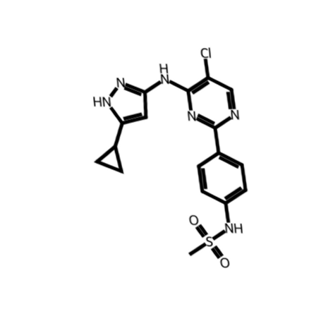 CS(=O)(=O)Nc1ccc(-c2ncc(Cl)c(Nc3cc(C4CC4)[nH]n3)n2)cc1